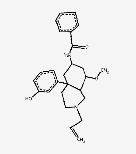 C=CCN1CCC2(c3cccc(O)c3)CC(NC(=O)c3ccccc3)CC(OC)C2C1